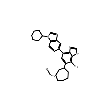 Nc1c(C2CCCC[C@H](CO)C2)cc(-c2ccc3c(c2)ncn3C2CCCCC2)c2nc[nH]c12